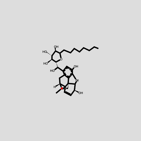 CCCCCCCC[C]1O[C@H](C(O)c2cc(O)c3c4c2C[C@@H]2[C@@H]5C=C[C@H](O)[C@H](O3)[C@]45CCN2C)[C@@H](O)[C@H](O)[C@H]1O